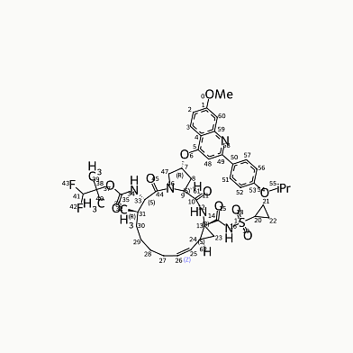 COc1ccc2c(O[C@@H]3C[C@H]4C(=O)N[C@]5(C(=O)NS(=O)(=O)C6CC6)C[C@H]5/C=C\CCCC[C@@H](C)[C@H](NC(=O)OC(C)(C)C(F)F)C(=O)N4C3)cc(-c3ccc(OC(C)C)cc3)nc2c1